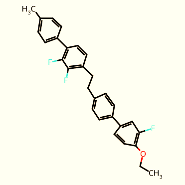 CCOc1ccc(-c2ccc(CCc3ccc(-c4ccc(C)cc4)c(F)c3F)cc2)cc1F